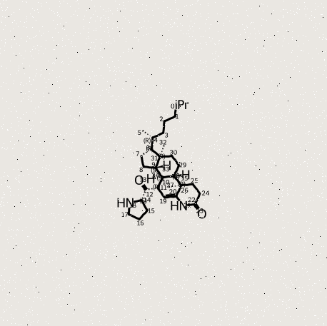 CC(C)CCC[C@@H](C)[C@H]1CC[C@H]2[C@@H]3[C@@H](C(=O)[C@@H]4CCCN4)C=C4NC(=O)CC[C@]4(C)[C@H]3CC[C@]12C